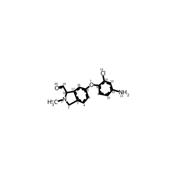 CN1Cc2ccc(Oc3ccc(N)cc3Cl)cc2C1C=O